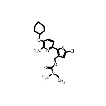 CCN(C)C(=O)OCc1cc(Cl)sc1-c1ccc(OC2CCCCC2)c(C)n1